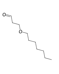 CCCCCCCOCCC=O